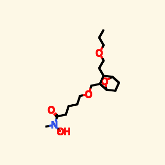 CCCOCCC1C2CCC(O2)C1COCCCCC(=O)N(C)O